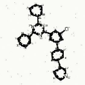 Clc1cc(-c2ccc(-c3cccnc3)cc2)cc(-c2nc(-c3ccccc3)nc(-c3ccccc3)n2)c1